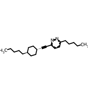 CCCCCc1ccc(C#C[C@H]2CC[C@H](CCCCC)CC2)nn1